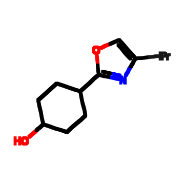 CC(C)c1coc(C2CCC(O)CC2)n1